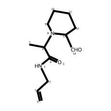 C=CCNC(=O)C(C)N1CCCCC1C=O